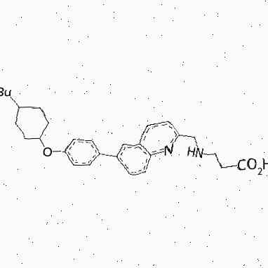 CC(C)(C)C1CCC(Oc2ccc(-c3ccc4nc(CNCCC(=O)O)ccc4c3)cc2)CC1